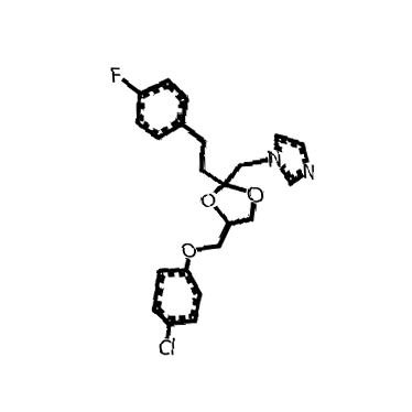 Fc1ccc(CCC2(Cn3ccnc3)OCC(COc3ccc(Cl)cc3)O2)cc1